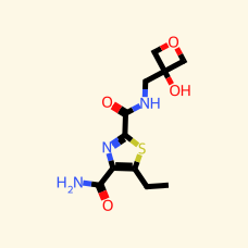 CCc1sc(C(=O)NCC2(O)COC2)nc1C(N)=O